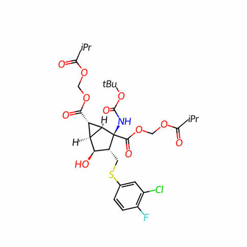 CC(C)C(=O)OCOC(=O)[C@H]1[C@@H]2[C@H](O)[C@@H](CSc3ccc(F)c(Cl)c3)[C@@](NC(=O)OC(C)(C)C)(C(=O)OCOC(=O)C(C)C)[C@H]12